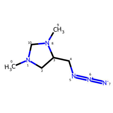 CN1CC(CN=[N+]=[N-])N(C)C1